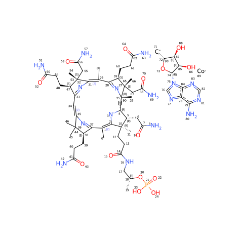 C/C1=C2/[N-][C@H]([C@H](CC(N)=O)[C@@]2(C)CCC(=O)NC[C@@H](C)OP(=O)(O)O)[C@]2(C)N=C(/C(C)=C3N=C(/C=C4N=C1[C@@H](CCC(N)=O)C\4(C)C)[C@@H](CCC(N)=O)[C@]\3(C)CC(N)=O)[C@@H](CCC(N)=O)[C@]2(C)CC(N)=O.[CH2-][C@H]1O[C@@H](n2cnc3c(N)ncnc32)[C@H](O)[C@@H]1O.[Co]